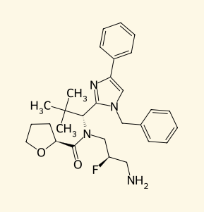 CC(C)(C)[C@H](c1nc(-c2ccccc2)cn1Cc1ccccc1)N(C[C@H](F)CN)C(=O)[C@@H]1CCCO1